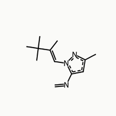 C=Nc1cc(C)nn1/C=C(\C)C(C)(C)C